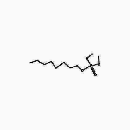 CCCCCCCCOP(=O)(OC)OC